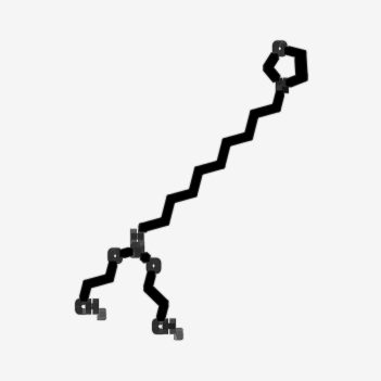 CCCO[SiH](CCCCCCCCCCN1C=COC1)OCCC